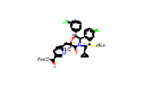 COC(=O)c1ccc(C[C@]2(C)O[C@H](c3cccc(Cl)c3)C(c3ccc(Cl)cc3)N([C@H](CSC(C)(C)C)C3CC3)C2=O)nc1